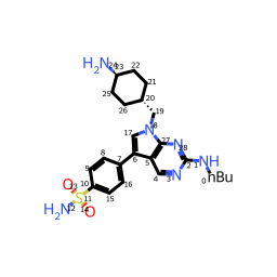 CCCCNc1ncc2c(-c3ccc(S(N)(=O)=O)cc3)cn(C[C@H]3CC[C@H](N)CC3)c2n1